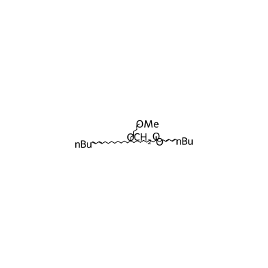 C=C(CCCOC)OC(CCCCCCCC/C=C/C=C/CCCC)CCCCCCCC(=O)OC/C=C/C=C/CCCC